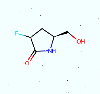 O=C1N[C@H](CO)CC1F